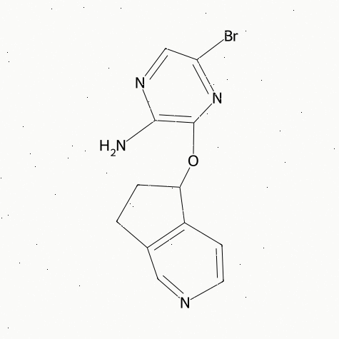 Nc1ncc(Br)nc1OC1CCc2cnccc21